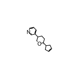 C1=CCC([C]2CCC(c3cccnc3)CO2)C1